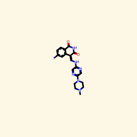 CN1CCN(c2cnc(NC=C3C(=O)NC(=O)c4ccc(I)cc43)cn2)CC1